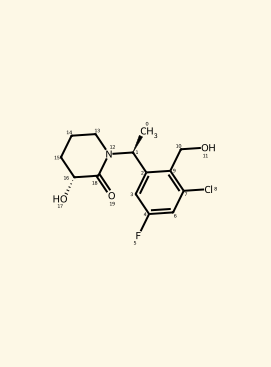 C[C@@H](c1cc(F)cc(Cl)c1CO)N1CCC[C@@H](O)C1=O